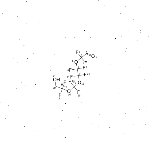 O=CC(F)(F)OC(F)(F)C(F)(F)OC(F)(F)OC(F)(F)CO